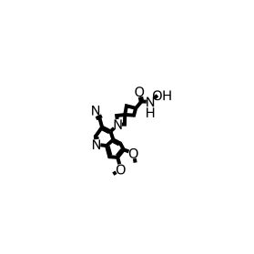 COc1cc2ncc(C#N)c(N3CC4(CC(C(=O)NO)C4)C3)c2cc1OC